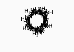 C[C@@H]1NC(=O)[C@H]([C@@H](C)O)NC(=O)[C@H](CC(N)=O)NC(=O)[C@H](CC(=O)O)NC(=O)[C@H](CCC(=O)O)NC(=O)[C@@H]2CCCN2C(=O)[C@H](CC(=O)O)NC(=O)[C@H](CCC(N)=O)NC(=O)[C@H]([C@@H](C)O)NC(=O)[C@H](CO)NC1=O